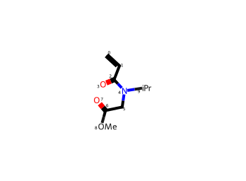 C=CC(=O)N(CC(=O)OC)C(C)C